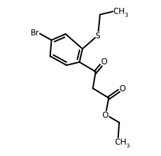 CCOC(=O)CC(=O)c1ccc(Br)cc1SCC